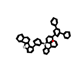 c1ccc(-c2cc(-c3ccccc3)cc(-c3ccc(N(c4cccc(-c5cccc6oc7c8ccccc8ccc7c56)c4)c4ccccc4-c4ccccc4)cc3)c2)cc1